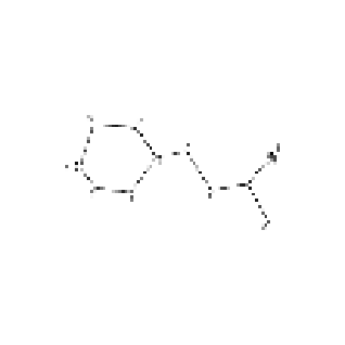 CC(Br)CCC1CCOCC1